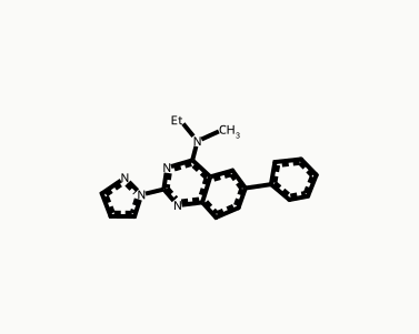 CCN(C)c1nc(-n2cccn2)nc2ccc(-c3ccccc3)cc12